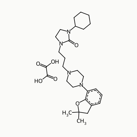 CC1(C)Cc2cccc(N3CCN(CCCN4CCN(C5CCCCC5)C4=O)CC3)c2O1.O=C(O)C(=O)O